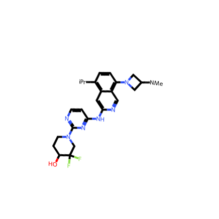 CNC1CN(c2ccc(C(C)C)c3cc(Nc4ccnc(N5CCC(O)C(F)(F)C5)n4)ncc23)C1